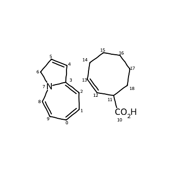 C1=CC=C2C=CCN2C=C1.O=C(O)C1C=CCCCCC1